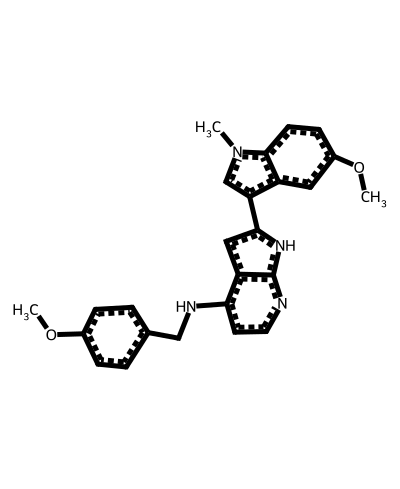 COc1ccc(CNc2ccnc3[nH]c(-c4cn(C)c5ccc(OC)cc45)cc23)cc1